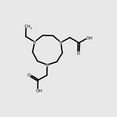 CCN1CCN(CC(=O)O)CCN(CC(=O)O)CC1